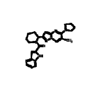 Cc1cn2nc(C3CCCCN3C(=O)c3cc4ccccc4[nH]3)cc2nc1N1CCCC1